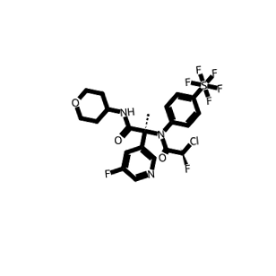 C[C@@](C(=O)NC1CCOCC1)(c1cncc(F)c1)N(C(=O)[C@H](F)Cl)c1ccc(S(F)(F)(F)(F)F)cc1